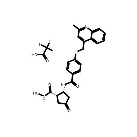 Cc1cc(COc2ccc(C(=O)N[C@@H]3CC(=O)C[C@@H]3C(=O)NO)cc2)c2ccccc2n1.O=C(O)C(F)(F)F